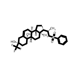 C[C@H](CS(=O)(=O)c1ccccc1)[C@H]1CC[C@H]2[C@@H]3CC=C4C[C@](O)(C(F)(F)F)CC[C@]4(C)[C@H]3CC[C@]12C